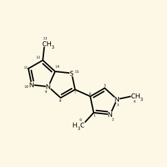 Cc1nn(C)cc1-c1cn2ncc(C)c2s1